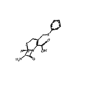 NC1C(=O)N2C(C(=O)O)=C(CSc3ccccc3)CS[C@@H]12